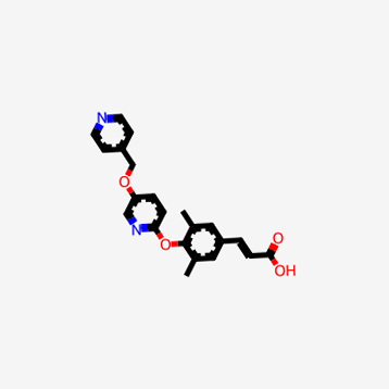 Cc1cc(C=CC(=O)O)cc(C)c1Oc1ccc(OCc2ccncc2)cn1